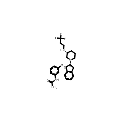 CC(=O)Nc1cccc(O[C@H]2c3ccccc3C[C@@H]2N2CCC[C@@H](NCCC(F)(F)F)C2)c1